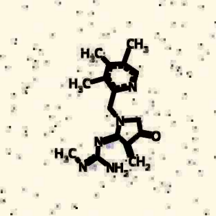 C=C1C(=O)CN(Cc2ncc(C)c(C)c2C)/C1=N/C(N)=N\C